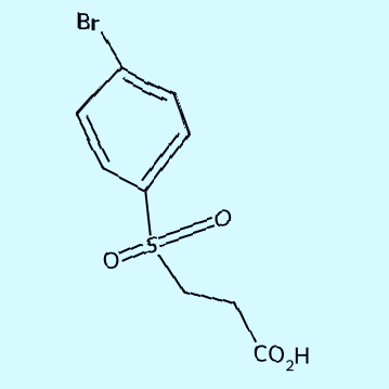 O=C(O)CCS(=O)(=O)c1ccc(Br)cc1